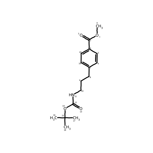 COC(=O)c1ccc(CCCNC(=O)OC(C)(C)C)cc1